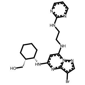 OC[C@@H]1CCCC[C@@H]1Nc1cc(NCCNc2ncccn2)n2ncc(Br)c2n1